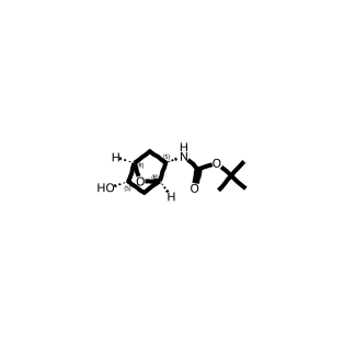 CC(C)(C)OC(=O)N[C@H]1C[C@H]2O[C@@H]1C[C@@H]2O